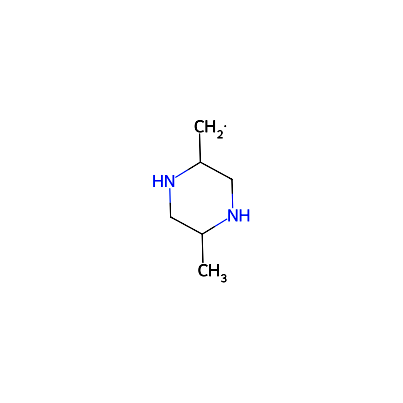 [CH2]C1CNC(C)CN1